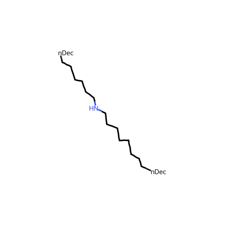 CCCCCCCCCCCCCCCCCCNCCCCCCCCCCCCCCCC